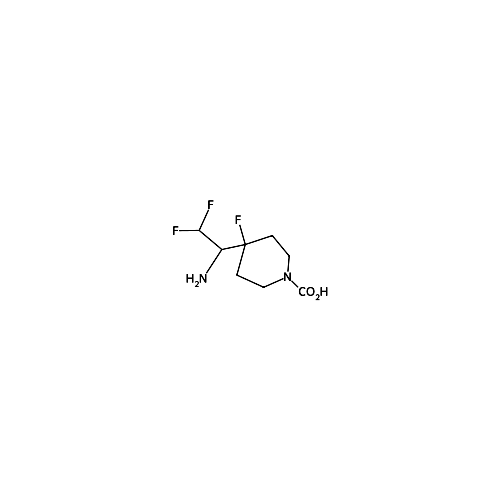 NC(C(F)F)C1(F)CCN(C(=O)O)CC1